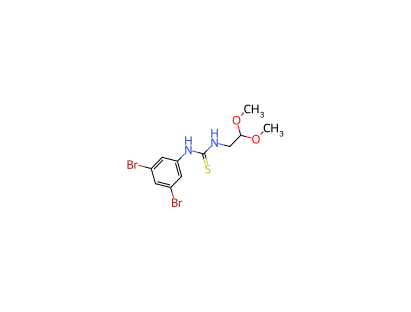 COC(CNC(=S)Nc1cc(Br)cc(Br)c1)OC